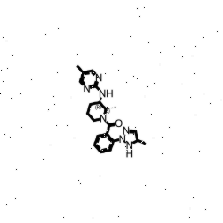 Cc1cnc(N[C@@H]2CCCN(C(=O)c3ccccc3N3N=CC(C)N3)[C@H]2C)nc1